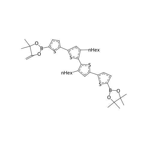 C=C1OB(c2ccc(-c3cc(CCCCCC)c(-c4sc(-c5ccc(B6OC(C)(C)C(C)(C)O6)s5)cc4CCCCCC)s3)s2)OC1(C)C